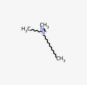 CCCCCCCCCCCCCC[n+]1ccn(CC)c1CCCCCC